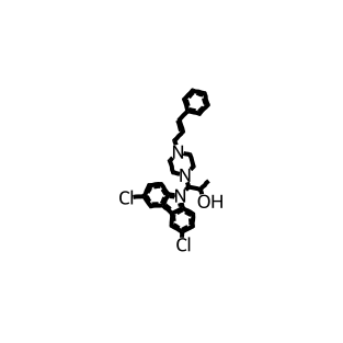 CC(O)C(N1CCN(C/C=C/c2ccccc2)CC1)n1c2ccc(Cl)cc2c2cc(Cl)ccc21